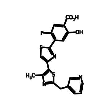 Cc1nc(Cc2cccnc2)sc1-c1csc(-c2cc(O)c(C(=O)O)cc2F)n1